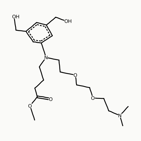 COC(=O)CCCN(CCOCCOCCN(C)C)c1cc(CO)cc(CO)c1